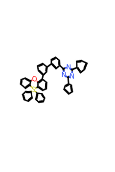 c1ccc(-c2nc(-c3ccccc3)nc(-c3cccc(-c4cccc(-c5cccc6c5Oc5ccccc5S6(c5ccccc5)c5ccccc5)c4)c3)n2)cc1